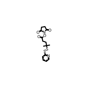 CC(C)(CCC(=O)ON1C(=O)CCC1=O)SSc1ccccn1